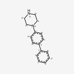 [c]1ccc(-c2ccc(N3CCNCC3)cc2)cc1